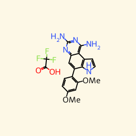 COc1ccc(-c2cc3nc(N)nc(N)c3c3cc[nH]c23)c(OC)c1.O=C(O)C(F)(F)F